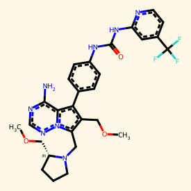 COCc1c(-c2ccc(NC(=O)Nc3cc(C(F)(F)F)ccn3)cc2)c2c(N)ncnn2c1CN1CCC[C@@H]1COC